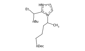 CCCCCCCCCCCCCC(C)[n+]1cc[nH]c1C(CC)CCCC